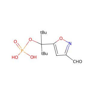 CC(C)(C)C(OP(=O)(O)O)(c1cc(C=O)no1)C(C)(C)C